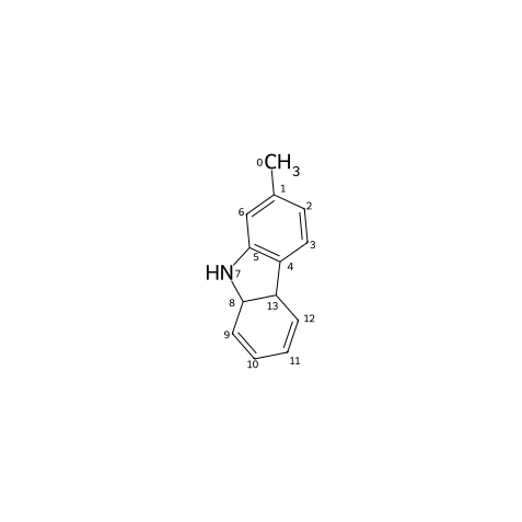 Cc1ccc2c(c1)NC1C=CC=CC21